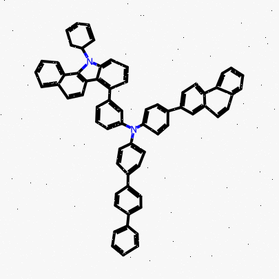 C1=CCC(n2c3cccc(-c4cccc(N(c5ccc(-c6ccc(-c7ccccc7)cc6)cc5)c5ccc(-c6ccc7c(ccc8ccccc87)c6)cc5)c4)c3c3ccc4ccccc4c32)C=C1